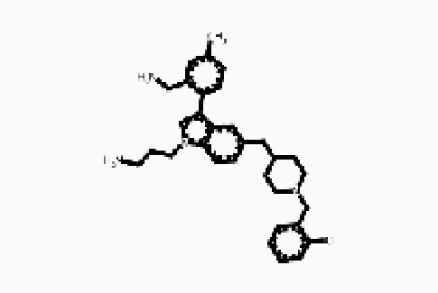 Cc1ccc(-c2cn(CCCN)c3ccc(CC4CCN(Cc5ccccc5Cl)CC4)cc23)c(CN)c1